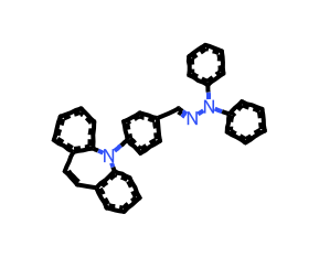 C1=Cc2ccccc2N(c2ccc(C=NN(c3ccccc3)c3ccccc3)cc2)c2ccccc21